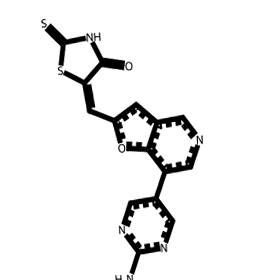 Nc1ncc(-c2cncc3cc(C=C4SC(=S)NC4=O)oc23)cn1